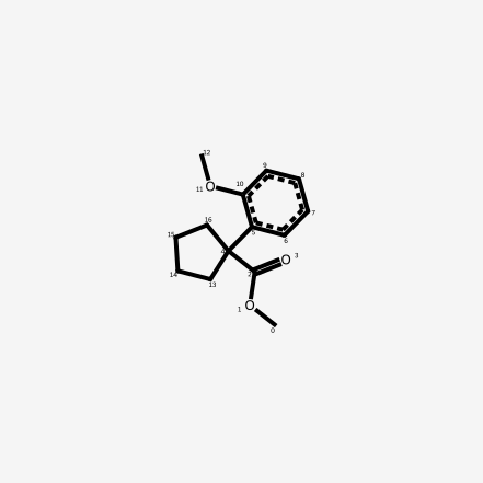 COC(=O)C1(c2ccccc2OC)CCCC1